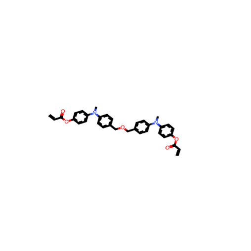 C=CC(=O)Oc1ccc(N(C)c2ccc(COCc3ccc(N(C)c4ccc(OC(=O)C=C)cc4)cc3)cc2)cc1